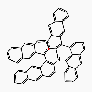 c1ccc2cc3c(-c4c([N]c5ccc6cc7ccccc7cc6c5-c5cccc6cc7ccccc7cc56)ccc5cc6ccccc6cc45)cccc3cc2c1